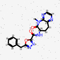 CN1C(=O)[C@H](NC(=O)c2nnc(Cc3ccccc3)o2)CCc2nccnc21